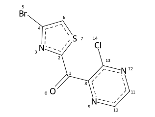 O=C(c1nc(Br)cs1)c1nccnc1Cl